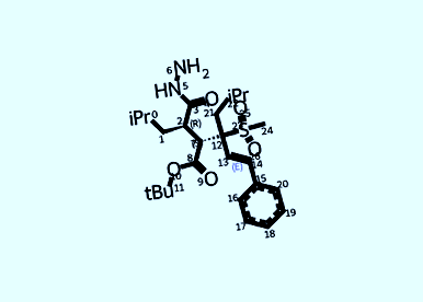 CC(C)C[C@@H](C(=O)NN)[C@@H](C(=O)OC(C)(C)C)C(/C=C/c1ccccc1)(CC(C)C)S(C)(=O)=O